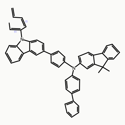 C=C/C=C\C(=C/C)n1c2ccccc2c2cc(-c3ccc(N(c4ccc(-c5ccccc5)cc4)c4ccc5c(c4)C(C)(C)c4ccccc4-5)cc3)ccc21